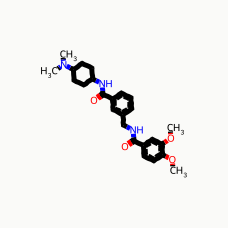 COc1ccc(C(=O)NCc2cccc(C(=O)NC3CCC(N(C)C)CC3)c2)cc1OC